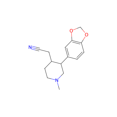 CN1CCC(CC#N)C(c2ccc3c(c2)OCO3)C1